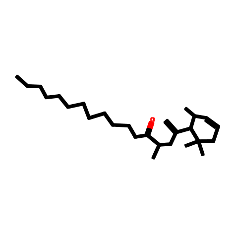 C=C(CC(C)C(=O)CCCCCCCCCCCC)C1C(C)C=CCC1(C)C